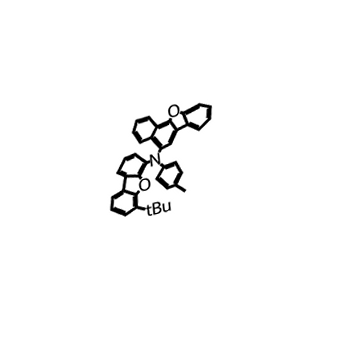 Cc1ccc(N(c2cc3c4ccccc4oc3c3ccccc23)c2cccc3c2oc2c(C(C)(C)C)cccc23)cc1